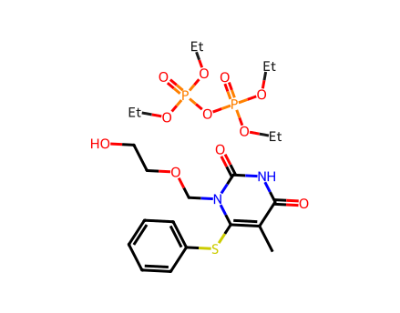 CCOP(=O)(OCC)OP(=O)(OCC)OCC.Cc1c(Sc2ccccc2)n(COCCO)c(=O)[nH]c1=O